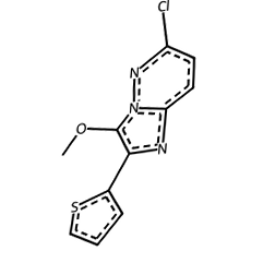 COc1c(-c2cccs2)nc2ccc(Cl)nn12